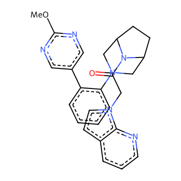 COc1ncc(-c2ccccc2N2CC3CCC(C2)N3C(=O)Cn2ccc3cccnc32)cn1